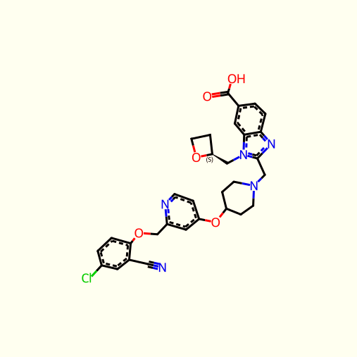 N#Cc1cc(Cl)ccc1OCc1cc(OC2CCN(Cc3nc4ccc(C(=O)O)cc4n3C[C@@H]3CCO3)CC2)ccn1